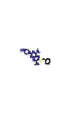 CN(C)c1nc2nc(N3CCNCC3)nc(N(C)C)c2nc1SCc1ccccc1